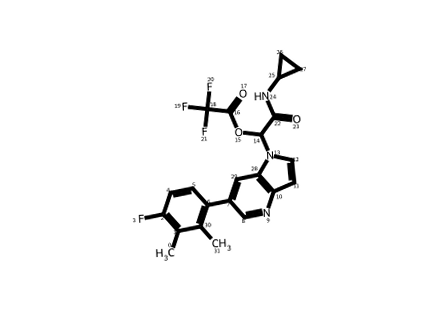 Cc1c(F)ccc(-c2cnc3ccn(C(OC(=O)C(F)(F)F)C(=O)NC4CC4)c3c2)c1C